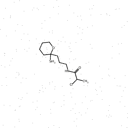 CC(Cl)C(=O)NCCCC1([SiH3])CCCCO1